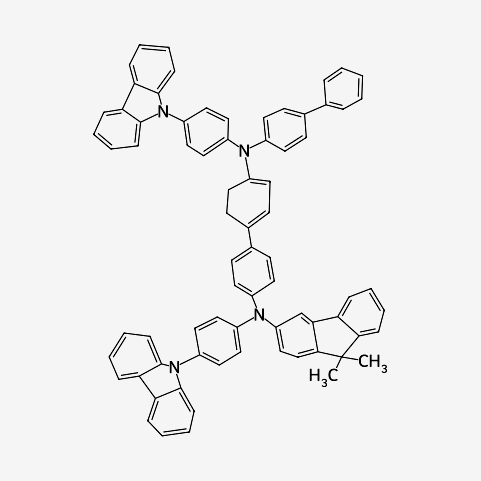 CC1(C)c2ccccc2-c2cc(N(c3ccc(C4=CC=C(N(c5ccc(-c6ccccc6)cc5)c5ccc(-n6c7ccccc7c7ccccc76)cc5)CC4)cc3)c3ccc(-n4c5ccccc5c5ccccc54)cc3)ccc21